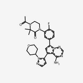 CC(=O)N1CCN(c2cc(-c3cc(-c4ccnn4C4CCOCC4)c4c(N)ncnn34)ccc2F)C(=O)C1(C)C